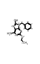 CCOc1nc(N)c2nc(O)n(Cc3ccccc3)c2n1